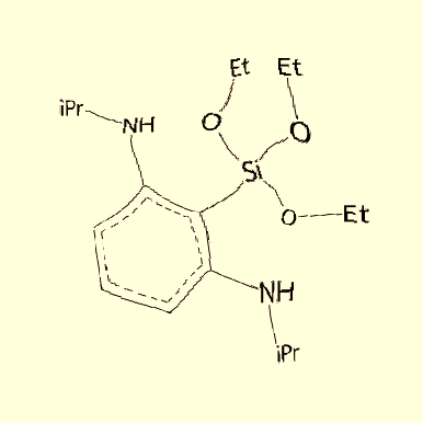 CCO[Si](OCC)(OCC)c1c(NC(C)C)cccc1NC(C)C